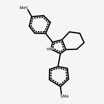 CSc1ccc(-c2[nH]c(-c3ccc(SC)cc3)c3c2CCCC3)cc1